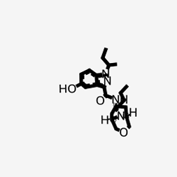 CCCCN1[C@@H]2COC[C@H]1C[C@@H](NC(=O)c1nn(C(C)CC)c3ccc(O)cc13)C2